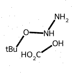 CC(C)(C)ONN.O=C(O)O